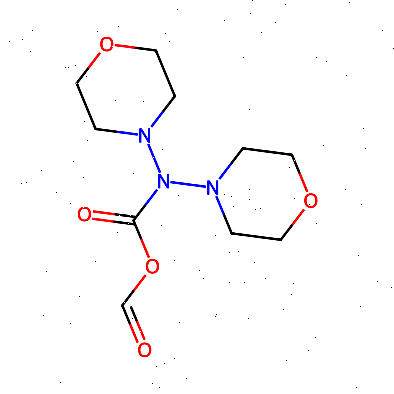 O=COC(=O)N(N1CCOCC1)N1CCOCC1